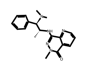 C[C@@H](Nc1nn(C)c(=O)c2cccnc12)[C@@H](c1ccccc1)N(C)C